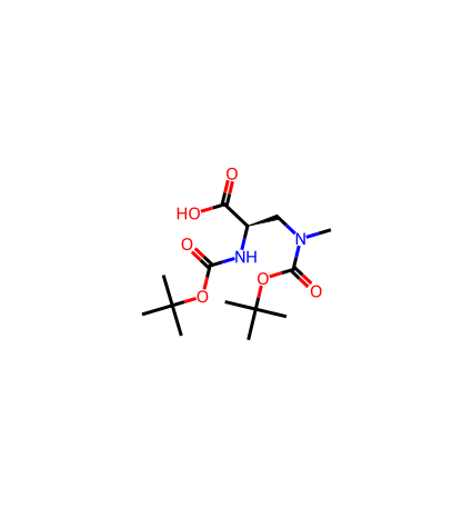 CN(C[C@@H](NC(=O)OC(C)(C)C)C(=O)O)C(=O)OC(C)(C)C